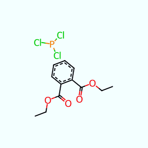 CCOC(=O)c1ccccc1C(=O)OCC.ClP(Cl)Cl